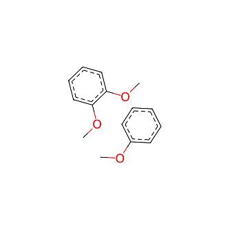 COc1ccccc1.COc1ccccc1OC